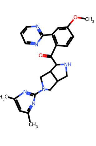 COc1ccc(C(=O)C2NCC3CN(c4nc(C)cc(C)n4)CC32)c(-c2ncccn2)c1